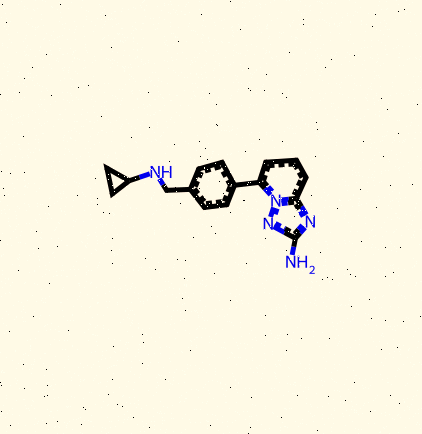 Nc1nc2cccc(-c3ccc(CNC4CC4)cc3)n2n1